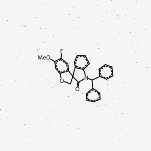 COc1cc2c(cc1F)C1(CO2)C(=O)N(C(c2ccccc2)c2ccccc2)c2ccccc21